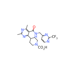 Cc1nc(C)c(C(=O)NCc2ccnc(C(F)(F)F)n2)c(C2CCN(C(=O)O)CC2)n1